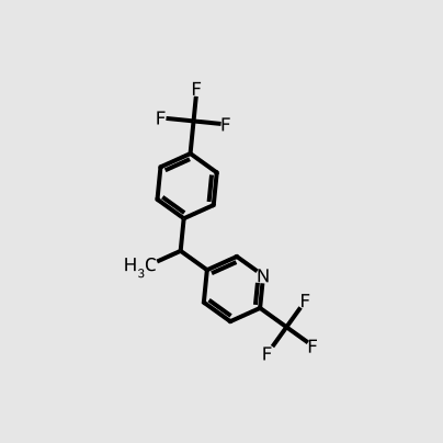 CC(c1ccc(C(F)(F)F)cc1)c1ccc(C(F)(F)F)nc1